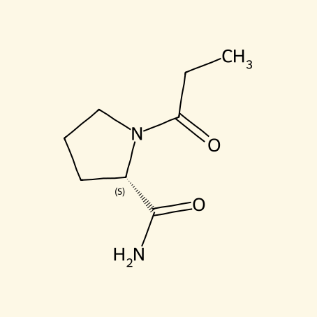 CCC(=O)N1CCC[C@H]1C(N)=O